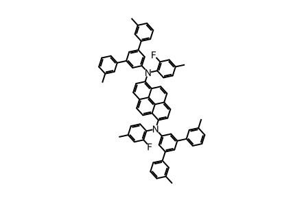 Cc1cccc(-c2cc(-c3cccc(C)c3)cc(N(c3ccc(C)cc3F)c3ccc4ccc5c(N(c6cc(-c7cccc(C)c7)cc(-c7cccc(C)c7)c6)c6ccc(C)cc6F)ccc6ccc3c4c65)c2)c1